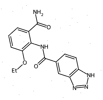 CCOc1cccc(C(N)=O)c1NC(=O)c1ccc2[nH]nnc2c1